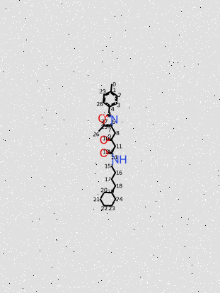 Cc1ccc(-c2nc(CC(=O)CC(=O)NCCCCC3CCCCC3)c(C)o2)cc1